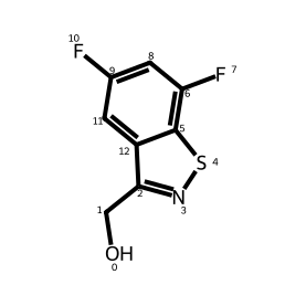 OCc1nsc2c(F)cc(F)cc12